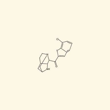 O=C(c1cc2cccc(Cl)c2s1)C1C2NC3CC2CCN1C3